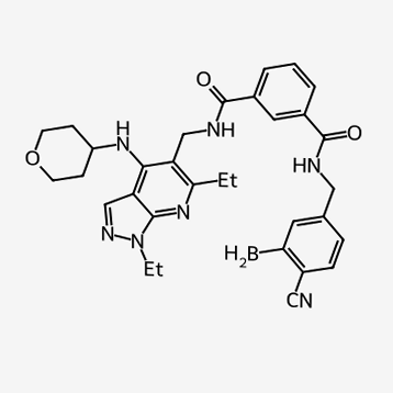 Bc1cc(CNC(=O)c2cccc(C(=O)NCc3c(CC)nc4c(cnn4CC)c3NC3CCOCC3)c2)ccc1C#N